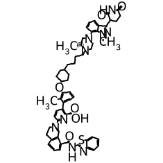 Cc1c(OC2CCC(CCCCN3CCN(c4cccc5c(C6CCC(=O)NC6=O)nn(C)c45)C[C@H]3C)CC2)cccc1-c1ccc(N2CCc3cccc(C(=O)Nc4nc5ccccc5s4)c3C2)nc1C(=O)O